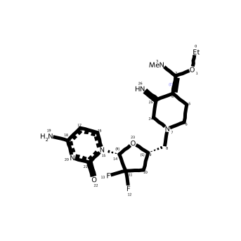 CCO/C(NC)=C1\CCN(C[C@@H]2CC(F)(F)[C@H](n3ccc(N)nc3=O)O2)CC1=N